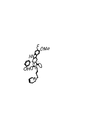 COc1cc2c3c([nH]c2cc1F)[C@@H](c1cccc(O)c1)N1C(=O)N(CCCN2CC=CCC2)C(=O)[C@]1(C)C3